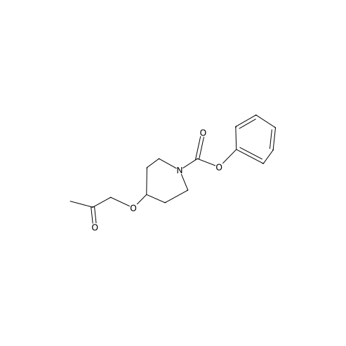 CC(=O)COC1CCN(C(=O)Oc2ccccc2)CC1